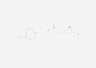 CC(C)(C)c1csc(NC(=O)C(C)(C)S(=O)(=O)c2ccc(C(F)(F)F)cc2)n1